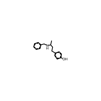 CC(CCc1ccc(O)cc1)NCc1ccccc1